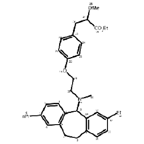 CCCc1ccc2c(c1)CCc1ccc(CC)cc1C2N(C)CCOc1ccc(CC(OC)C(=O)OCC)cc1